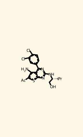 CC(=O)c1sc2nc(N[C@@H](CO)C(C)C)nc(-c3ccc(Cl)c(Cl)c3)c2c1N